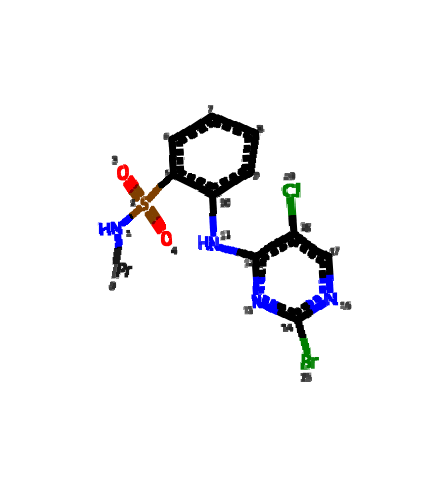 CC(C)NS(=O)(=O)c1ccccc1Nc1nc(Br)ncc1Cl